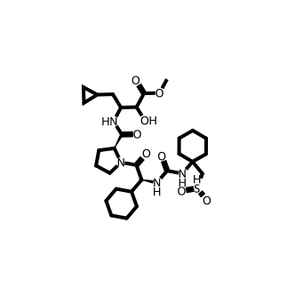 COC(=O)C(O)C(CC1CC1)NC(=O)[C@@H]1CCCN1C(=O)[C@@H](NC(=O)NC1(C[SH](=O)=O)CCCCC1)C1CCCCC1